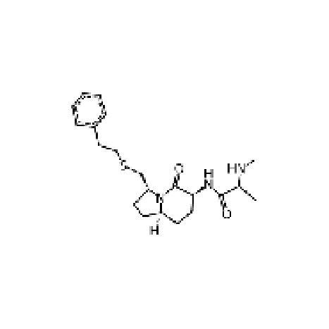 CNC(C)C(=O)N[C@H]1CC[C@H]2CC[C@@H](CSCCc3ccccc3)N2C1=O